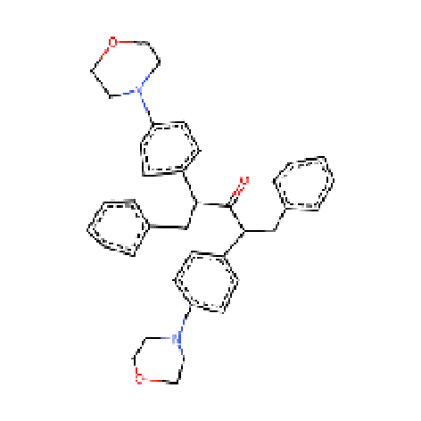 O=C(C(Cc1ccccc1)c1ccc(N2CCOCC2)cc1)C(Cc1ccccc1)c1ccc(N2CCOCC2)cc1